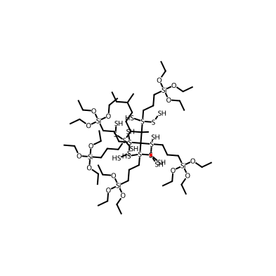 CCO[Si](CCCS(S)(SS)C(CCC(C)CC)C(C)(C(S(S)(CCC[Si](OCC)(OCC)OCC)SS)(S(S)(CCC[Si](OCC)(OCC)OCC)SS)S(S)(CCC[Si](OCC)(OCC)OCC)SS)S(S)(CCC[Si](OCC)(OCC)OCC)SS)(OCC)OCC